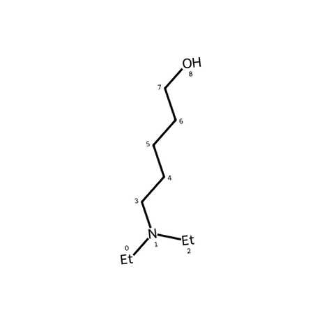 CCN(CC)CCCCCO